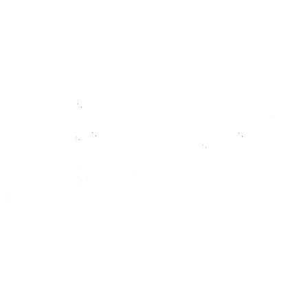 O=S(=O)(N1CCN(c2ccc(OCC3COC(Cn4cncn4)(c4ccc(Cl)cc4Cl)O3)cc2)CC1)C(F)(F)F